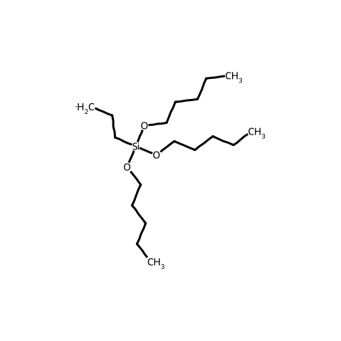 [CH2]CC[Si](OCCCCC)(OCCCCC)OCCCCC